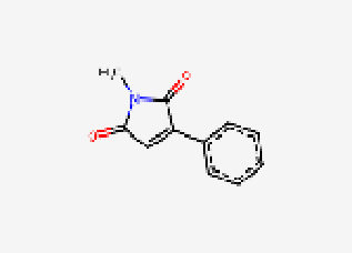 CN1C(=O)C=C(c2ccccc2)C1=O